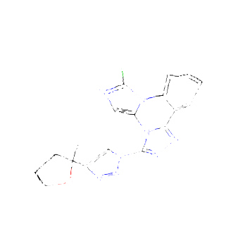 CC1(c2cn(-c3nnc4c5ccccc5n5c(Cl)ncc5n34)nn2)CCCO1